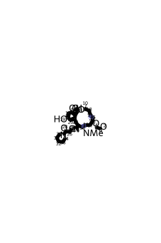 CNC(=O)CO[C@@H]1/C=C/C[C@@H](C)OC(=O)c2c(O)cc(O)cc2CC(=NOCC(=O)N2CCCCC2)/C=C/C1